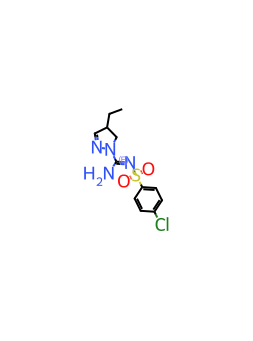 CCC1C=NN(/C(N)=N/S(=O)(=O)c2ccc(Cl)cc2)C1